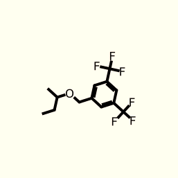 CCC(C)OCc1cc(C(F)(F)F)cc(C(F)(F)F)c1